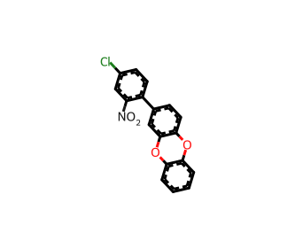 O=[N+]([O-])c1cc(Cl)ccc1-c1ccc2c(c1)Oc1ccccc1O2